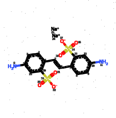 Nc1ccc(C=Cc2ccc(N)cc2S(=O)(=O)[O-])c(S(=O)(=O)[O-])c1.[Na+].[Na+]